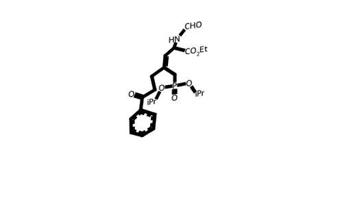 CCOC(=O)C(C=C(CCC(=O)c1ccccc1)CP(=O)(OC(C)C)OC(C)C)NC=O